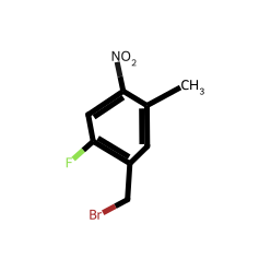 Cc1cc(CBr)c(F)cc1[N+](=O)[O-]